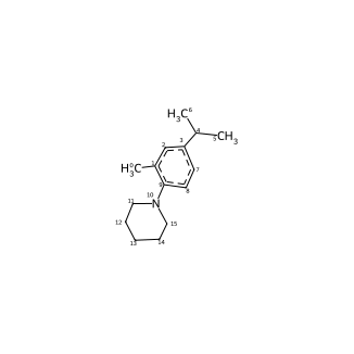 Cc1cc(C(C)C)ccc1N1CCCCC1